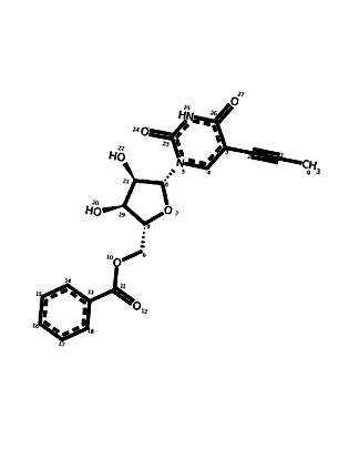 CC#Cc1cn([C@@H]2O[C@H](COC(=O)c3ccccc3)[C@@H](O)[C@H]2O)c(=O)[nH]c1=O